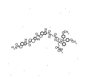 CNC(=O)CCC(=O)OC(CNC(=O)CCNC(=O)c1cc2c3c(ccc2[nH]1)N(C(=O)c1cc2c([nH]1)CCC1=C2CCN1C(=O)c1cc2c4c(ccc2[nH]1)N(C(N)=O)CC4)CC3)COC(c1ccccc1)(c1ccc(OC)cc1)c1ccc(OC)cc1